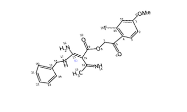 COc1ccc(C(=O)COC(=O)/C(C(C)=N)=C(\N)NCc2ccccc2)c(F)c1